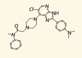 CN(C)c1ccc(-c2nc3c(N4CCN(CC(=O)N(C)c5ccccc5)CC4)c(Cl)cnc3[nH]2)cc1